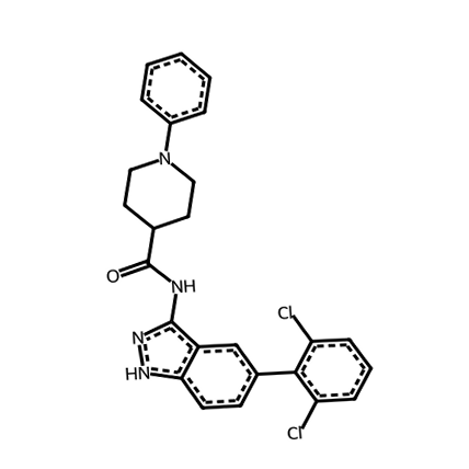 O=C(Nc1n[nH]c2ccc(-c3c(Cl)cccc3Cl)cc12)C1CCN(c2ccccc2)CC1